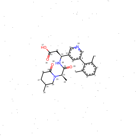 Cc1cccc(C)c1-c1cncc([C@H](CC(=O)O)NC(=O)[C@@H](C)N2CC(C)CCC2=O)c1